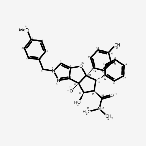 COc1ccc(Cn2cc3c(n2)[C@]2(O)[C@H](O)[C@H](C(=O)N(C)C)[C@@H](c4ccccc4)[C@]2(c2ccc(C#N)cc2)O3)cc1